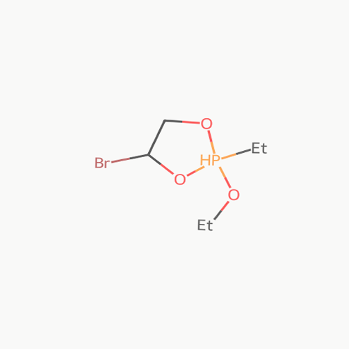 CCO[PH]1(CC)OCC(Br)O1